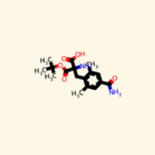 Cc1cc(C(N)=O)cc(C)c1CC(N)(C(=O)O)C(=O)OC(C)(C)C